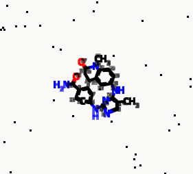 Cc1cnc(Nc2ccc(C(N)=O)cc2)nc1Nc1ccc2c(c1)CCC(=O)N2C